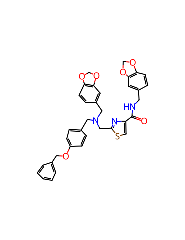 O=C(NCc1ccc2c(c1)OCO2)c1csc(CN(Cc2ccc(OCc3ccccc3)cc2)Cc2ccc3c(c2)OCO3)n1